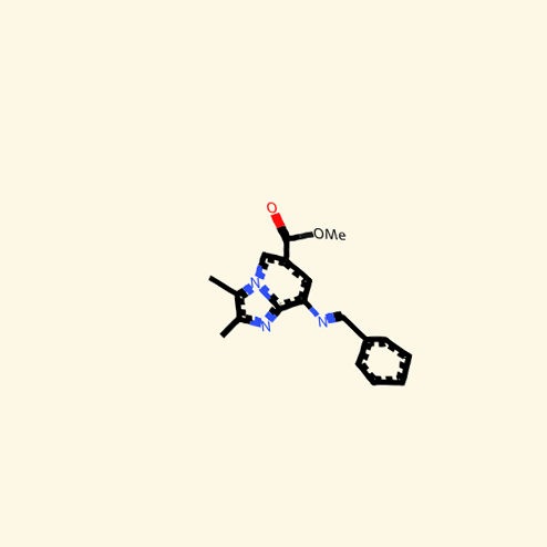 COC(=O)c1cc(N=Cc2ccccc2)c2nc(C)c(C)n2c1